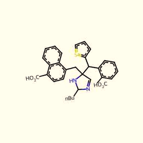 CCCCC1N=CC(Cc2ccc(C(=O)O)c3ccccc23)(C(c2cccs2)c2ccccc2C(=O)O)N1